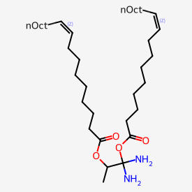 CCCCCCCC/C=C\CCCCCCCC(=O)OC(C)C(N)(N)OC(=O)CCCCCCC/C=C\CCCCCCCC